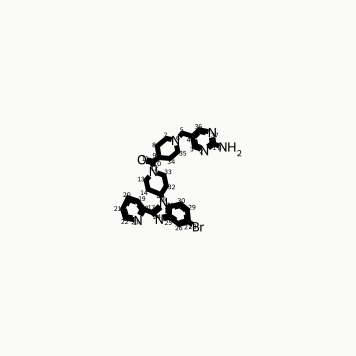 Nc1ncc(CN2CCC(C(=O)N3CCC(n4c(-c5ccccn5)nc5cc(Br)ccc54)CC3)CC2)cn1